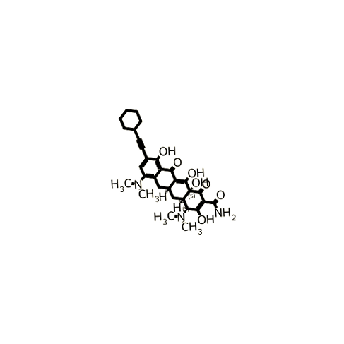 CN(C)c1cc(C#CC2CCCCC2)c(O)c2c1C[C@H]1C[C@H]3[C@H](N(C)C)C(O)=C(C(N)=O)C(=O)[C@@]3(O)C(O)=C1C2=O